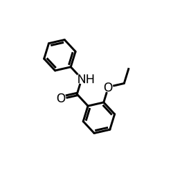 CCOc1ccccc1C(=O)Nc1ccccc1